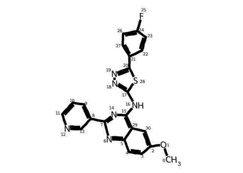 COc1ccc2nc(-c3cccnc3)nc(Nc3nnc(-c4ccc(F)cc4)s3)c2c1